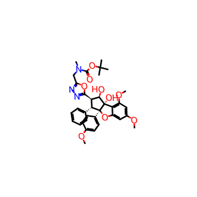 COc1ccc([C@@]23Oc4cc(OC)cc(OC)c4[C@]2(O)[C@H](O)[C@H](c2nnc(CN(C)C(=O)OC(C)(C)C)o2)[C@H]3c2ccccc2)cc1